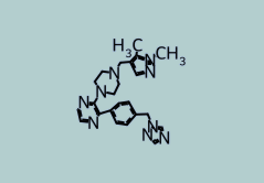 Cc1c(CN2CCN(c3nccnc3-c3ccc(Cn4cncn4)cc3)CC2)cnn1C